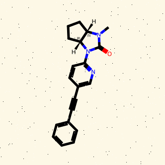 CN1C(=O)N(c2ccc(C#Cc3ccccc3)cn2)[C@@H]2CCC[C@@H]21